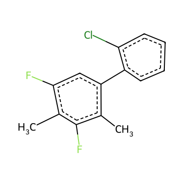 Cc1c(F)cc(-c2ccccc2Cl)c(C)c1F